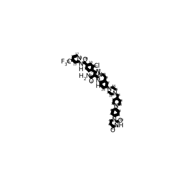 NC(=O)c1c(-c2ccc(C(=O)Nc3cc(C(F)(F)F)ccn3)cc2Cl)nn2c1Nc1ccc(N3CCN(CC4CCN(c5ccc(N6CCC(=O)NC6=O)cc5)CC4)CC3)cc1CC2